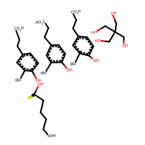 CC(C)(C)c1cc(CCC(=O)O)ccc1O.CC(C)(C)c1cc(CCC(=O)O)ccc1O.CC(C)(C)c1cc(CCC(=O)O)ccc1O.CCCCCCCCCCCCCCC(O)=S.OCC(CO)(CO)CO